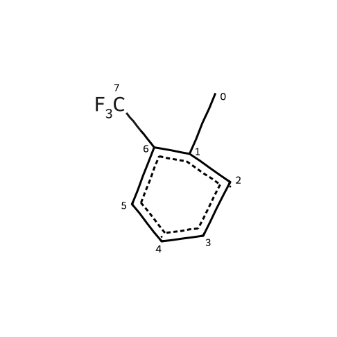 Cc1[c]c[c]cc1C(F)(F)F